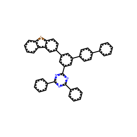 c1ccc(-c2ccc(-c3cc(-c4ccc5sc6ccccc6c5c4)cc(-c4nc(-c5ccccc5)nc(-c5ccccc5)n4)c3)cc2)cc1